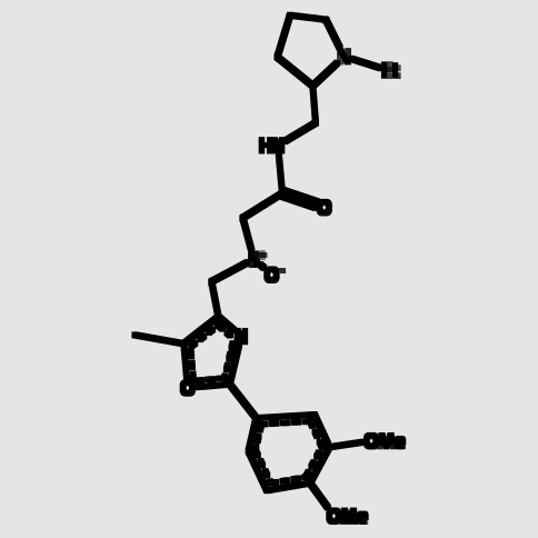 CCN1CCCC1CNC(=O)C[S+]([O-])Cc1nc(-c2ccc(OC)c(OC)c2)oc1C